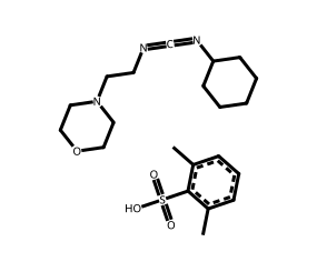 C(=NCCN1CCOCC1)=NC1CCCCC1.Cc1cccc(C)c1S(=O)(=O)O